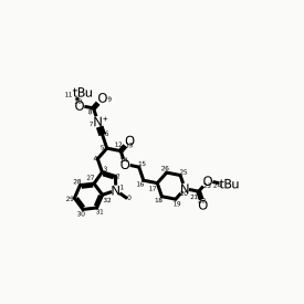 Cn1cc(CC(C#[N+]C(=O)OC(C)(C)C)C(=O)OCCC2CCN(C(=O)OC(C)(C)C)CC2)c2ccccc21